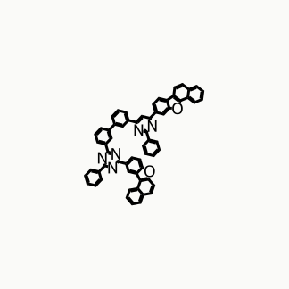 c1ccc(-c2nc(-c3cccc(-c4cccc(-c5nc(-c6ccccc6)nc(-c6ccc7oc8ccc9ccccc9c8c7c6)n5)c4)c3)cc(-c3ccc4c(c3)oc3c5ccccc5ccc43)n2)cc1